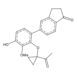 C=C(C)C1(Oc2c(-c3ccc4c(c3)CCC4=O)ccc(O)c2OC)CC1